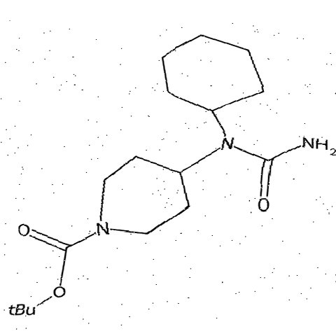 CC(C)(C)OC(=O)N1CCC(N(C(N)=O)C2CCCCC2)CC1